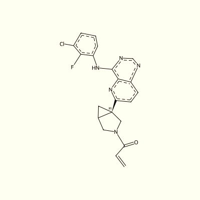 C=CC(=O)N1CC2C[C@]2(c2ccc3ncnc(Nc4cccc(Cl)c4F)c3n2)C1